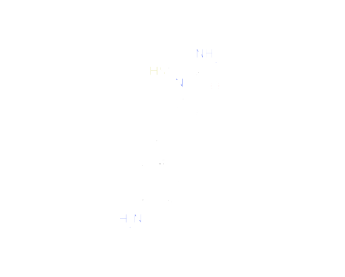 NC(=O)N(S)c1ccc2c(c1)Cc1cc(N)ccc1-2